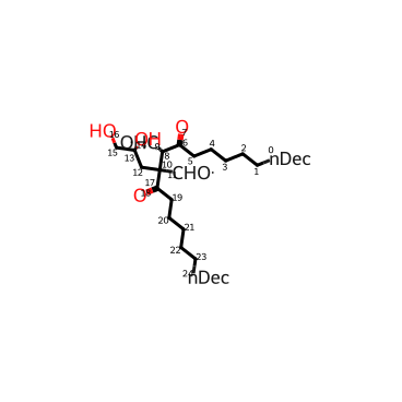 CCCCCCCCCCCCCCCC(=O)C([C]=O)C([C]=O)(CC(O)CO)C(=O)CCCCCCCCCCCCCCC